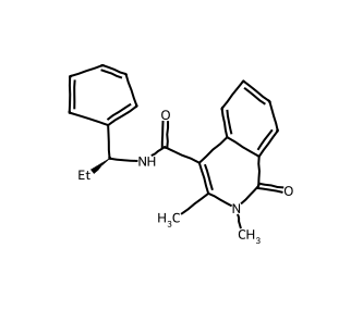 CC[C@H](NC(=O)c1c(C)n(C)c(=O)c2ccccc12)c1ccccc1